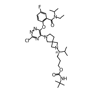 CCN(C(=O)c1cc(F)ccc1Oc1nnc(Cl)nc1N1CCC2(C1)CN([C@H](CCCOC(=O)NC(C)(C)C)C(C)C)C2)C(C)C